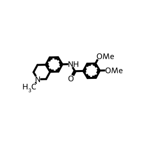 COc1ccc(C(=O)Nc2ccc3c(c2)CN(C)CC3)cc1OC